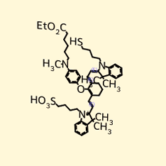 CCOC(=O)CCCCCN(C)c1ccc(OC2=C(/C=C/C3=[N+](CCCCS(=O)(=O)O)c4ccccc4C3(C)C)CCC/C2=C\C=C2\N(CCCCS)c3ccccc3C2(C)C)cc1